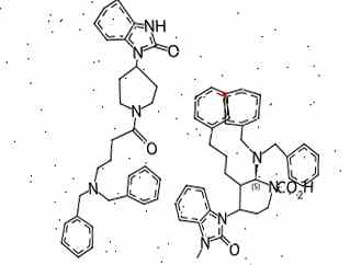 Cn1c(=O)n(C2CCN(C(=O)O)[C@H](N(Cc3ccccc3)Cc3ccccc3)C2CCCc2ccccc2)c2ccccc21.O=C(CCCN(Cc1ccccc1)Cc1ccccc1)N1CCC(n2c(=O)[nH]c3ccccc32)CC1